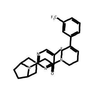 O=C(CN1CC2CCC(C1)N2c1ncc(F)cn1)N1CCC=C(c2cccc(C(F)(F)F)c2)C1